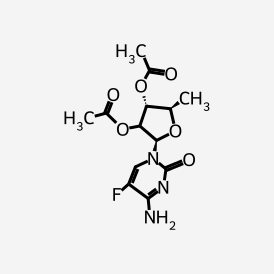 CC(=O)OC1[C@H](n2cc(F)c(N)nc2=O)O[C@H](C)[C@H]1OC(C)=O